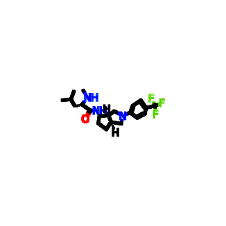 CN[C@@H](CC(C)C)C(=O)N[C@H]1CC[C@@H]2CN(c3ccc(C(F)(F)F)cc3)C[C@@H]21